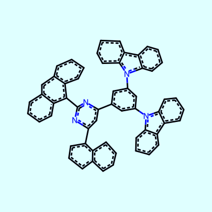 c1ccc2c(-c3cc(-c4cc(-n5c6ccccc6c6ccccc65)cc(-n5c6ccccc6c6ccccc65)c4)nc(-c4c5ccccc5cc5ccccc45)n3)cccc2c1